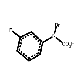 O=C(O)N(Br)c1cccc(F)c1